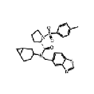 Cc1ccc(S(=O)(=O)N2CCC[C@H]2C(=O)N(Cc2ccc3scnc3c2)C2CCC3CC3C2)cc1